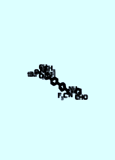 C[C@@H](c1ncc(-c2ccc(-c3ccc(-c4[nH]c([C@@H]5CCCN5[C]=O)nc4C(F)(F)F)cc3)cc2)[nH]1)N(C)C(=O)OC(C)(C)C